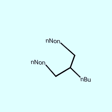 [CH2]CCCC(CCCCCCCCCC)CCCCCCCCCC